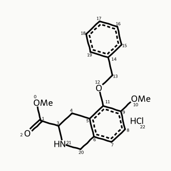 COC(=O)C1Cc2c(ccc(OC)c2OCc2ccccc2)CN1.Cl